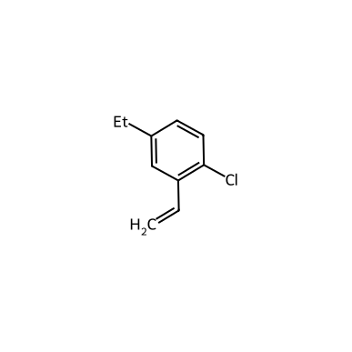 C=Cc1cc(CC)ccc1Cl